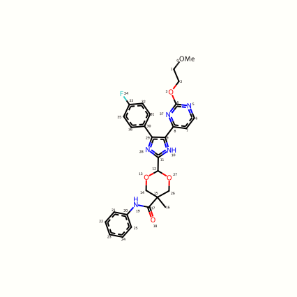 COCCOc1nccc(-c2[nH]c(C3OCC(C)(C(=O)Nc4ccccc4)CO3)nc2-c2ccc(F)cc2)n1